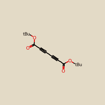 CC(C)(C)OC(=O)C#CC#CC(=O)OC(C)(C)C